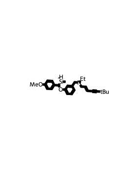 CCN(C/C=C/C#CC(C)(C)C)Cc1cccc(OC(c2ccc(OC)cc2)[SiH](C)C)c1